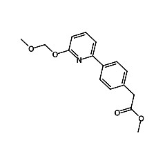 COCOc1cccc(-c2ccc(CC(=O)OC)cc2)n1